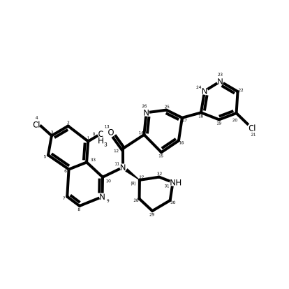 Cc1cc(Cl)cc2ccnc(N(C(=O)c3ccc(-c4cc(Cl)cnn4)cn3)[C@@H]3CCCNC3)c12